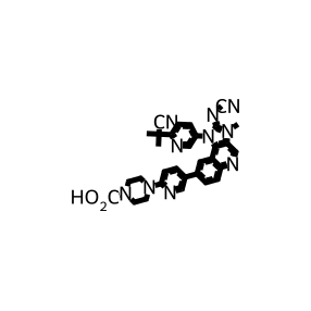 Cn1c(=NC#N)n(-c2ccc(C(C)(C)C#N)nc2)c2c3cc(-c4ccc(N5CCN(C(=O)O)CC5)nc4)ccc3ncc21